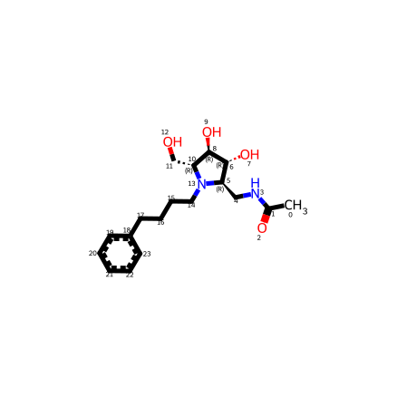 CC(=O)NC[C@@H]1[C@@H](O)[C@H](O)[C@@H](CO)N1CCCCc1ccccc1